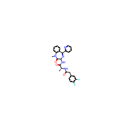 C[C@H](NC(=O)Cc1ccc(F)c(F)c1)C(=O)NC1N=C(c2ccccn2)c2ccccc2N(C)C1=O